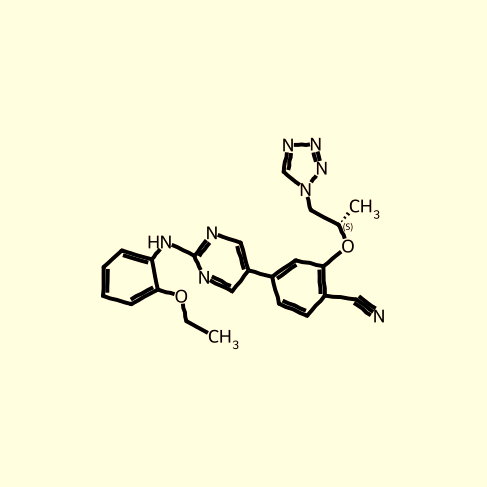 CCOc1ccccc1Nc1ncc(-c2ccc(C#N)c(O[C@@H](C)Cn3cnnn3)c2)cn1